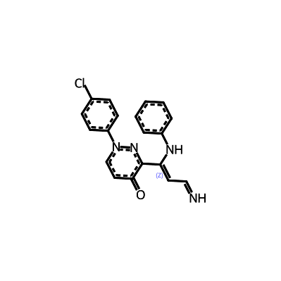 N=C/C=C(\Nc1ccccc1)c1nn(-c2ccc(Cl)cc2)ccc1=O